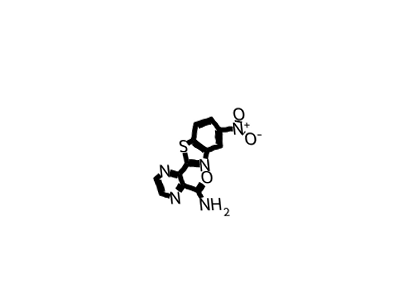 NC(=O)c1nccnc1-c1nc2cc([N+](=O)[O-])ccc2s1